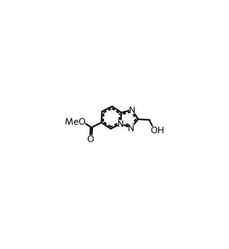 COC(=O)c1ccc2nc(CO)nn2c1